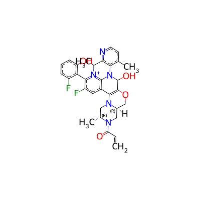 C=CC(=O)N1C[C@@H]2COC3=C(c4cc(F)c(-c5c(O)cccc5F)[n+]5c4N(c4c(C)ccnc4C5C)C3O)N2C[C@H]1C